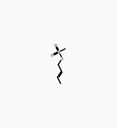 CC=CCSS(C)(=O)=O